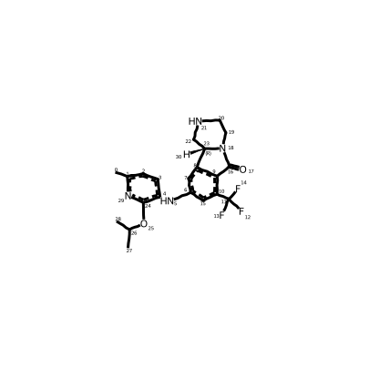 Cc1ccc(Nc2cc3c(c(C(F)(F)F)c2)C(=O)N2CCNC[C@@H]32)c(OC(C)C)n1